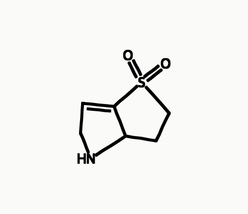 O=S1(=O)CCC2NCC=C21